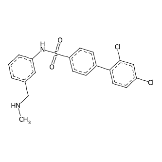 CNCc1cccc(NS(=O)(=O)c2ccc(-c3ccc(Cl)cc3Cl)cc2)c1